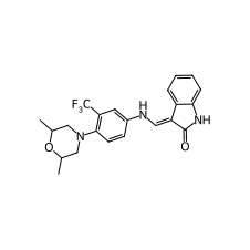 CC1CN(c2ccc(N/C=C3/C(=O)Nc4ccccc43)cc2C(F)(F)F)CC(C)O1